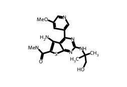 CNC(=O)c1sc2nc(NC(C)(C)CO)nc(-c3cncc(OC)c3)c2c1N